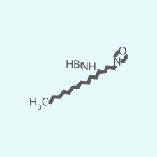 Br.CCCCCCCCCCCCCCCCN1CCOCC1.N